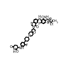 CCN(C)S(=O)(=O)Nc1ccc(F)c(Nc2ccc3ncn(C4COC5(CCN(C6CCC(c7ccc(NC8CCC(=O)NC8=O)cc7F)CC6)CC5)C4)c(=O)c3c2)c1C#N